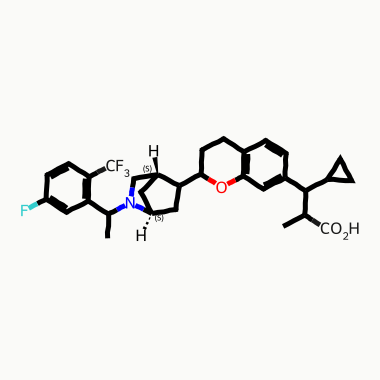 CC(C(=O)O)C(c1ccc2c(c1)OC(C1C[C@@H]3C[C@@H]1CN3C(C)c1cc(F)ccc1C(F)(F)F)CC2)C1CC1